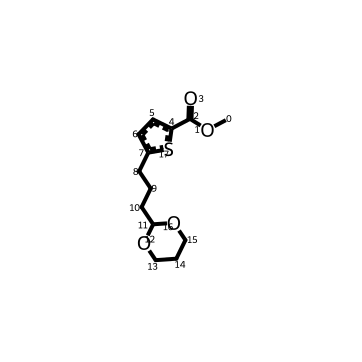 COC(=O)c1ccc(CCCC2OCCCO2)s1